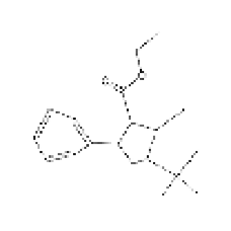 CCOC(=O)C1C(c2ccccc2)CC(C(C)(C)C)C1C